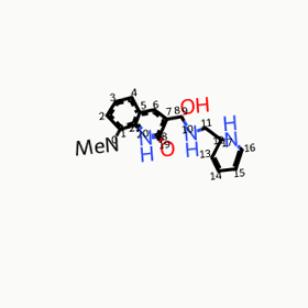 CNc1cccc2cc(C(O)NCC3C=CC=CN3)c(=O)[nH]c12